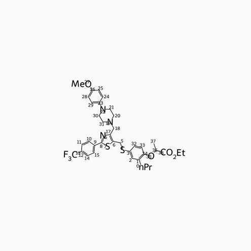 CCCc1cc(SCc2sc(-c3ccc(C(F)(F)F)cc3)nc2CN2CCN(c3ccc(OC)cc3)CC2)ccc1OC(C)C(=O)OCC